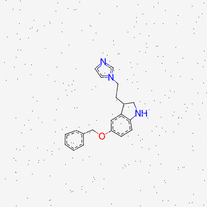 c1ccc(COc2ccc3c(c2)C(CCn2ccnc2)CN3)cc1